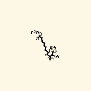 CCCOC(=O)CCCCCCCCC(C(C)C)C(C(=O)OCCC)C(C)C